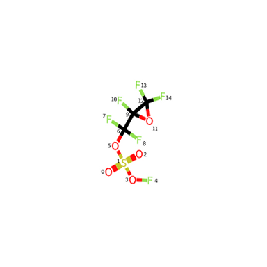 O=S(=O)(OF)OC(F)(F)C1(F)OC1(F)F